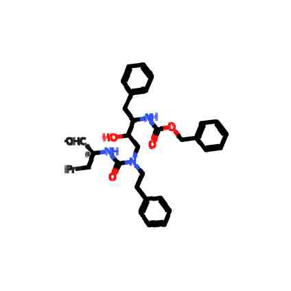 CC(C)C[C@@H]([C]=O)NC(=O)N(CCc1ccccc1)CC(O)C(Cc1ccccc1)NC(=O)OCc1ccccc1